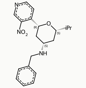 CC(C)[C@@H]1C[C@H](NCc2ccccc2)C[C@H](c2ccncc2[N+](=O)[O-])O1